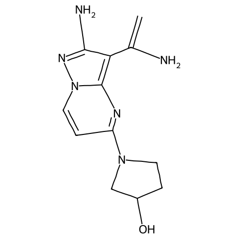 C=C(N)c1c(N)nn2ccc(N3CCC(O)C3)nc12